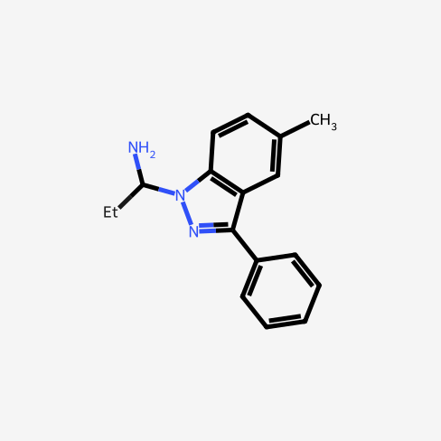 CCC(N)n1nc(-c2ccccc2)c2cc(C)ccc21